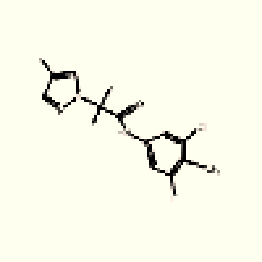 Cc1cnn(C(C)(C)C(=O)Nc2cc(Cl)c(C(F)(F)F)c(Cl)c2)c1